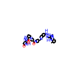 Cc1cccc(C)c1Nc1nn(C)c2nc(Nc3ccc4c(c3)CN(CC3CCN(C(=O)C5CCN(c6cccc7nnn(C8CCC(=O)NC8=O)c(=O)c67)CC5)CC3)CC4)ncc12